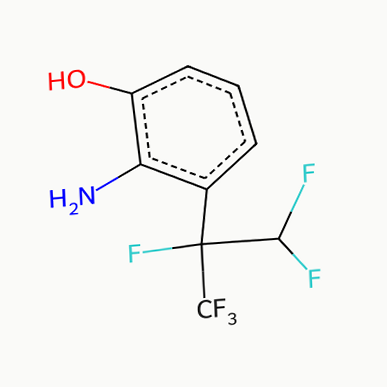 Nc1c(O)cccc1C(F)(C(F)F)C(F)(F)F